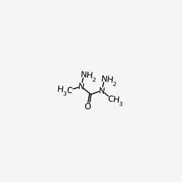 CN(N)C(=O)N(C)N